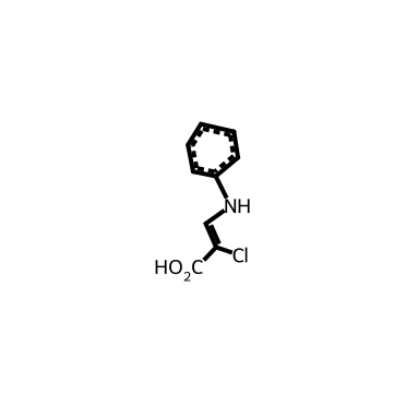 O=C(O)C(Cl)=CNc1ccccc1